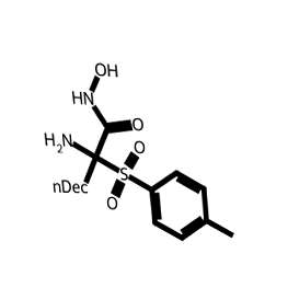 CCCCCCCCCCC(N)(C(=O)NO)S(=O)(=O)c1ccc(C)cc1